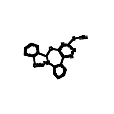 CCCCSc1nnc2c(n1)OC(c1ccccc1OC)Nc1ccccc1-2